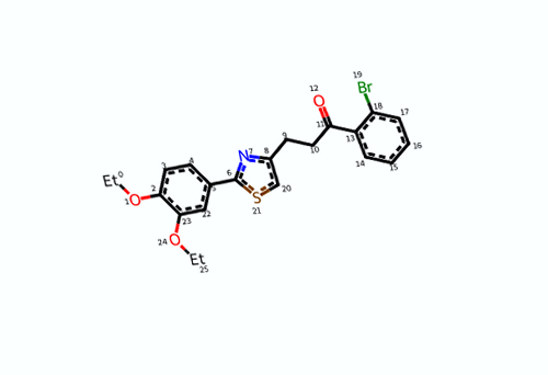 CCOc1ccc(-c2nc(CCC(=O)c3ccccc3Br)cs2)cc1OCC